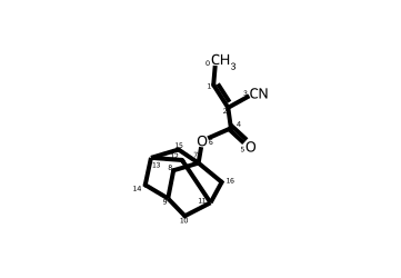 CC=C(C#N)C(=O)OC12CC3CC(CC(C3)C1)C2